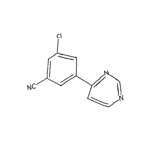 N#Cc1cc(Cl)cc(-c2ccncn2)c1